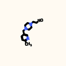 Cc1ccc(CN2CCN(CCN=O)CC2)cn1